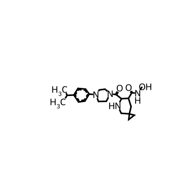 CC(C)c1ccc(N2CCN(C(=O)C3NCC4(CC4)CC3C(=O)NO)CC2)cc1